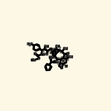 CC(=O)O[C@@]12CO[C@@H]1C[C@H](O)[C@@H]1C(=O)[C@H](O)C3=C(C)[C@@H](OC(=O)[C@H](O)[C@@H](NC(=O)OC(C)(C)C)c4ccc(C)cc4)C[C@@](O)([C@@H](OC(=O)c4ccccc4)[C@@H]12)C3(C)C